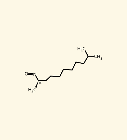 CC(C)CCCCCCC[C@@H](C)N=O